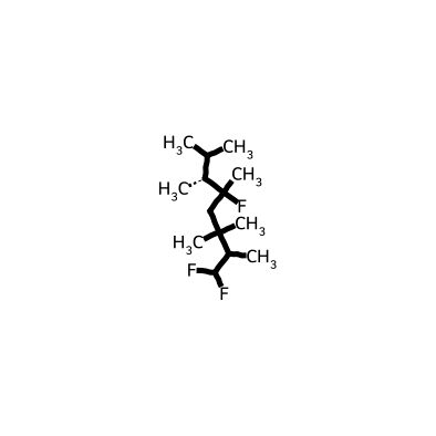 CC(C)[C@@H](C)C(C)(F)CC(C)(C)C(C)C(F)F